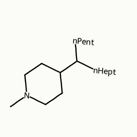 CCCCCCCC(CCCCC)C1CCN(C)CC1